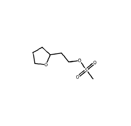 CS(=O)(=O)OCCC1CCCO1